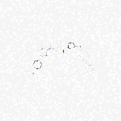 CC1=NN(c2ccc(C(F)(F)F)cc2)C(=O)/C1=C(/C)NNC(=O)c1ccc(C(=O)N2CCC(N3CCCC3)CC2)s1